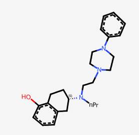 CCCN(CCN1CCN(c2ccccc2)CC1)[C@H]1CCc2c(O)cccc2C1